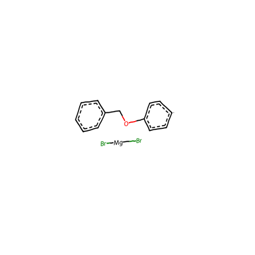 [Br][Mg][Br].[c]1ccc(OCc2ccccc2)cc1